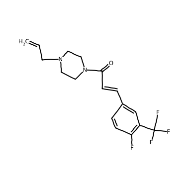 C=CCN1CCN(C(=O)C=Cc2ccc(F)c(C(F)(F)F)c2)CC1